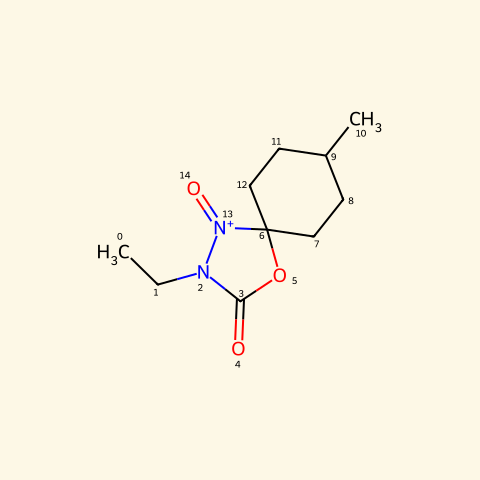 CCN1C(=O)OC2(CCC(C)CC2)[N+]1=O